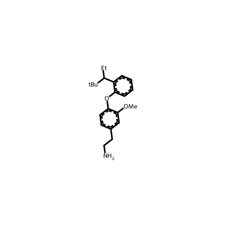 CCC(c1ccccc1Oc1ccc(CCN)cc1OC)C(C)(C)C